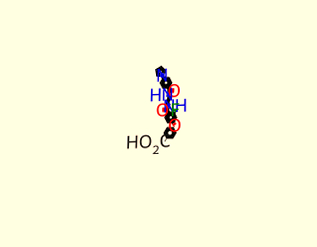 O=C(NCCNC(=O)c1ccc(O[C@H]2CC[C@@H](C(=O)O)CC2)cc1F)c1ccc(N2CCCC2)cc1